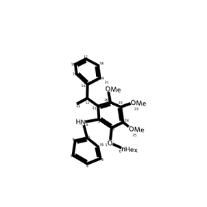 CCCCCCOc1c(Nc2ccccc2)c(C(C)c2ccccc2)c(OC)c(OC)c1OC